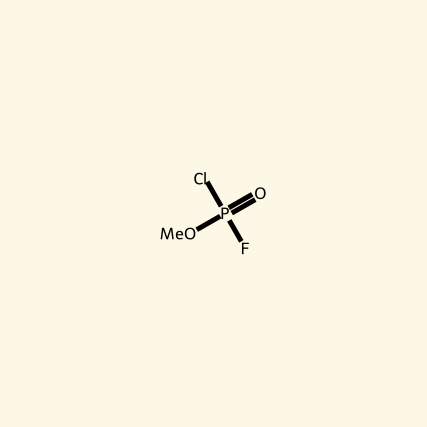 COP(=O)(F)Cl